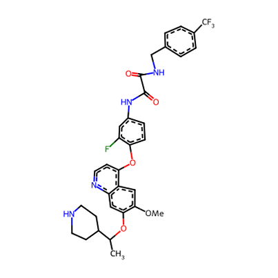 COc1cc2c(Oc3ccc(NC(=O)C(=O)NCc4ccc(C(F)(F)F)cc4)cc3F)ccnc2cc1OC(C)C1CCNCC1